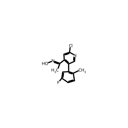 C/C(=N\O)c1cc(Cl)ncc1-c1cc(F)ccc1C